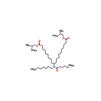 CCCCCCCCCCCCCCCCN(C(=O)CCCCNC)C(CCCCCCCCCC(=O)OCC(CCCC)CCCCCC)CCCCCCCCC(=O)OCC(CCCC)CCCCCC